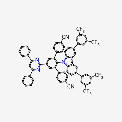 N#Cc1ccc(-c2cc(-c3nc(-c4ccccc4)cc(-c4ccccc4)n3)cc(-c3ccc(C#N)cc3)c2-n2c3ccc(-c4cc(C(F)(F)F)cc(C(F)(F)F)c4)cc3c3cc(-c4cc(C(F)(F)F)cc(C(F)(F)F)c4)ccc32)cc1